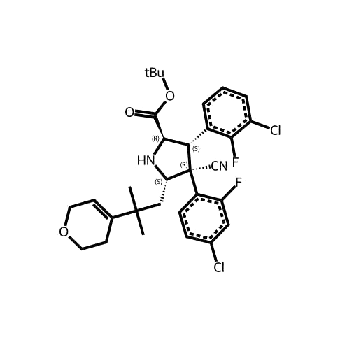 CC(C)(C)OC(=O)[C@@H]1N[C@@H](CC(C)(C)C2=CCOCC2)[C@](C#N)(c2ccc(Cl)cc2F)[C@H]1c1cccc(Cl)c1F